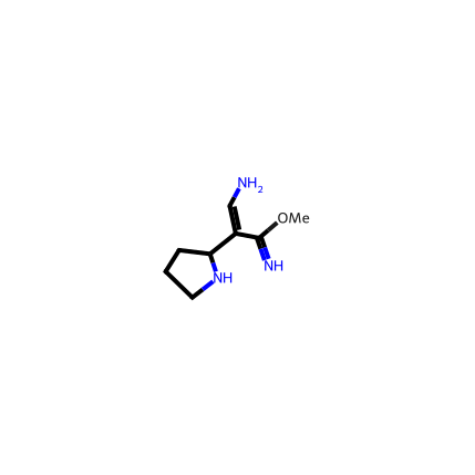 COC(=N)/C(=C\N)C1CCCN1